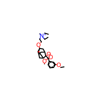 CCOc1cccc(C2(OC)OOC23C2CC4CC3CC(OCC[N+](C)(CC)CC)(C4)C2)c1